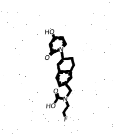 O=C(O)N(CCF)Cc1ccc2c(c1)CCC(n1ccc(O)cc1=O)=C2